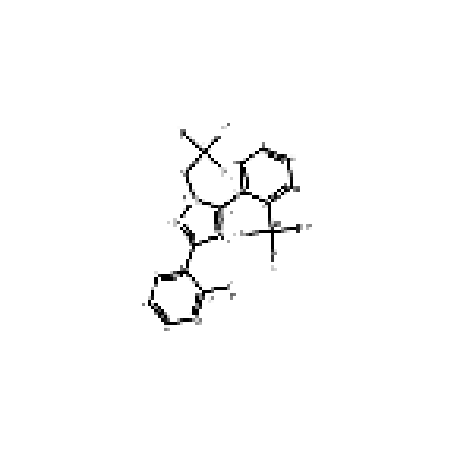 FC(F)(F)Cn1nc(-c2ccccc2Cl)nc1-c1ccccc1C(F)(F)F